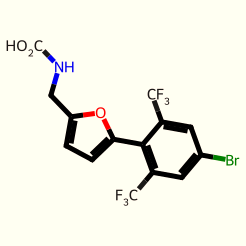 O=C(O)NCc1ccc(-c2c(C(F)(F)F)cc(Br)cc2C(F)(F)F)o1